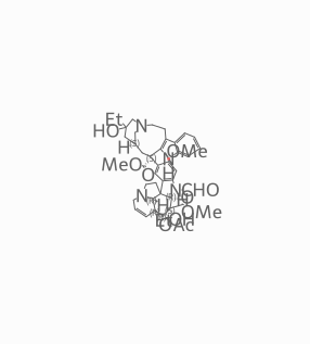 CCC1(O)C[C@H]2CN(CCc3c([nH]c4ccccc34)[C@@](C(=O)OC)(c3cc4c(cc3OC)N(C=O)[C@@H]3C45CCN4CC=C[C@](CC)([C@H]45)[C@@H](OC(C)=O)[C@]3(O)C(=O)OC)C2)C1